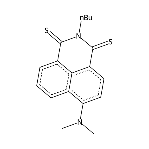 CCCCN1C(=S)c2cccc3c(N(C)C)ccc(c23)C1=S